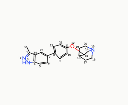 Cc1n[nH]c2ccc(-c3ccc(OC4CN5CCC4CC5)cc3)cc12